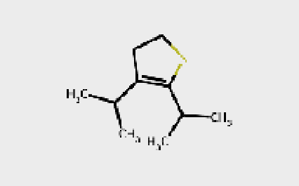 CC(C)C1=C(C(C)C)SCC1